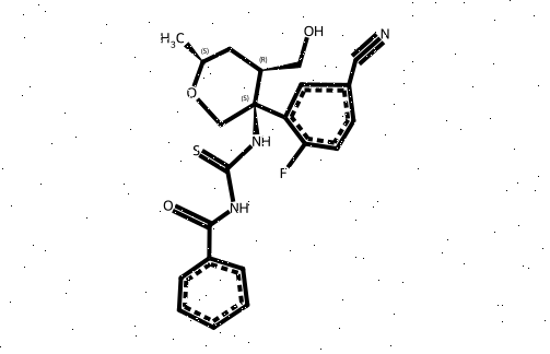 C[C@H]1C[C@@H](CO)[C@](NC(=S)NC(=O)c2ccccc2)(c2cc(C#N)ccc2F)CO1